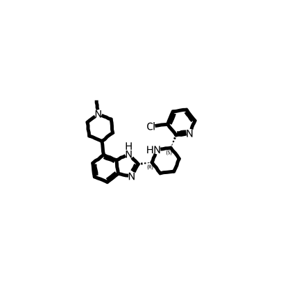 CN1CCC(c2cccc3nc([C@H]4CCC[C@@H](c5ncccc5Cl)N4)[nH]c23)CC1